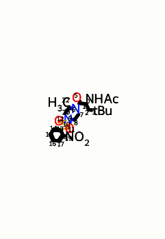 CC(=O)N[C@@H](CC(C)(C)C)C(=O)N1CCN(S(=O)(=O)c2ccccc2[N+](=O)[O-])C[C@H]1C